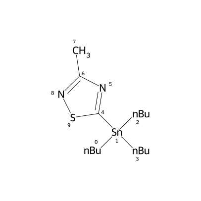 CCC[CH2][Sn]([CH2]CCC)([CH2]CCC)[c]1nc(C)ns1